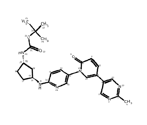 Cc1ncc(-c2ccc(=O)n(-c3ccc(N[C@H]4CC[C@H](NC(=O)OC(C)(C)C)C4)nc3)c2)cn1